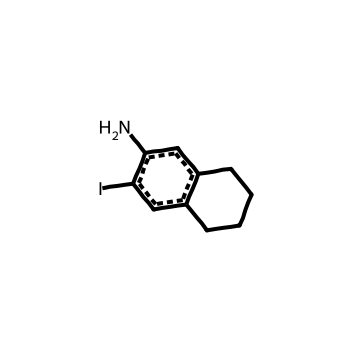 Nc1cc2c(cc1I)CCCC2